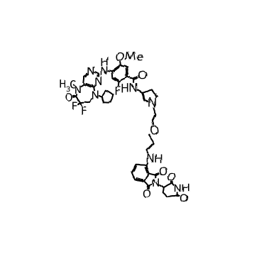 COc1cc(C(=O)NC2CCN(CCOCCCNc3cccc4c3C(=O)N(C3CCC(=O)NC3=O)C4=O)C2)c(F)cc1Nc1ncc2c(n1)N(C1CCCC1)CC(F)(F)C(=O)N2C